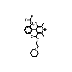 CC1=C(C(=O)OCCN2CCCCC2)C(c2ccccc2OC(F)F)C([N+](=O)[O-])=C(C)N1